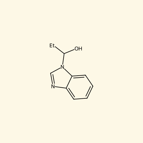 CCC(O)n1cnc2ccccc21